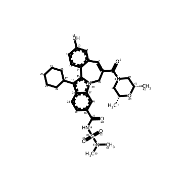 C[C@@H]1CN(C(=O)C2=Cc3cc(O)ccc3-c3c(C4CCCCC4)c4ccc(C(=O)NS(=O)(=O)N(C)C)cc4n3C2)C[C@H](C)O1